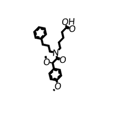 COc1ccc([C@@H](OC)C(=O)N(CCCCC(=O)O)CCCc2ccccc2)cc1